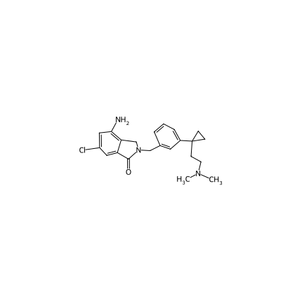 CN(C)CCC1(c2cccc(CN3Cc4c(N)cc(Cl)cc4C3=O)c2)CC1